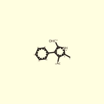 CC(=O)c1c(C)[nH]c(C=O)c1-c1ccccc1